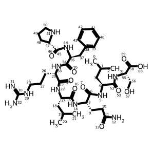 CC(C)C[C@H](NC(=O)[C@H](CCC(N)=O)NC(=O)[C@H](CC(C)C)NC(=O)[C@H](CCCNC(=N)N)NC(=O)[C@H](Cc1ccccc1)NC(=O)[C@@H]1CCCN1)C(=O)N[C@@H](CO)C(=O)O